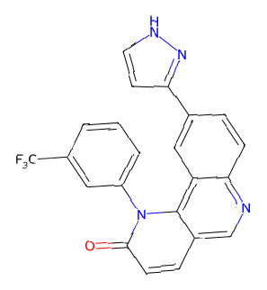 O=c1ccc2cnc3ccc(-c4cc[nH]n4)cc3c2n1-c1cccc(C(F)(F)F)c1